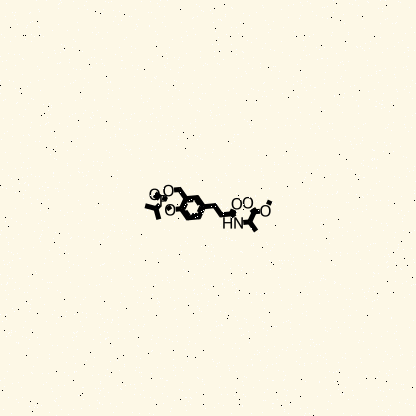 COC(=O)C(C)NC(=O)CCc1ccc2c(c1)COP(=O)(C(C)C)O2